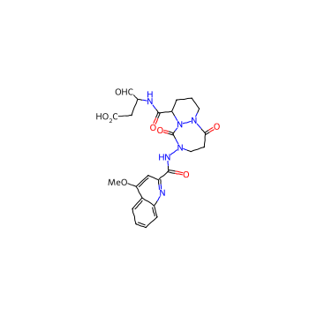 COc1cc(C(=O)NN2CCC(=O)N3CCCC(C(=O)NC(C=O)CC(=O)O)N3C2=O)nc2ccccc12